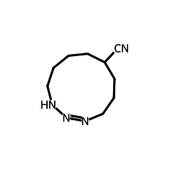 N#CC1CCCCNN=NCCC1